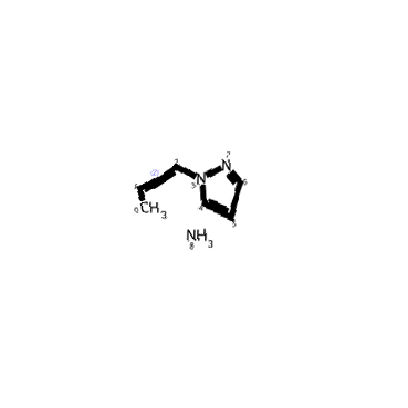 C/C=C\n1cccn1.N